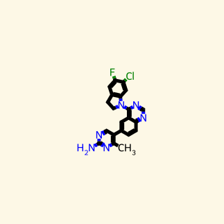 Cc1nc(N)ncc1-c1ccc2ncnc(N3CCc4cc(F)c(Cl)cc43)c2c1